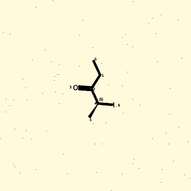 CCC(=O)[C@H](C)I